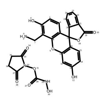 NCc1c(O)ccc2c1Oc1cc(O)ccc1C21OC(=O)c2ccccc21.O=C(NO)ON1C(=O)CCC1=O